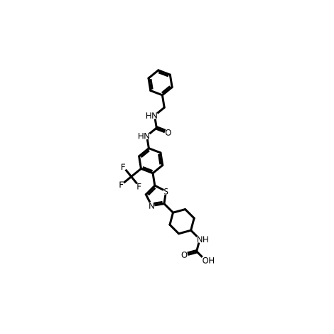 O=C(O)NC1CCC(c2ncc(-c3ccc(NC(=O)NCc4ccccc4)cc3C(F)(F)F)s2)CC1